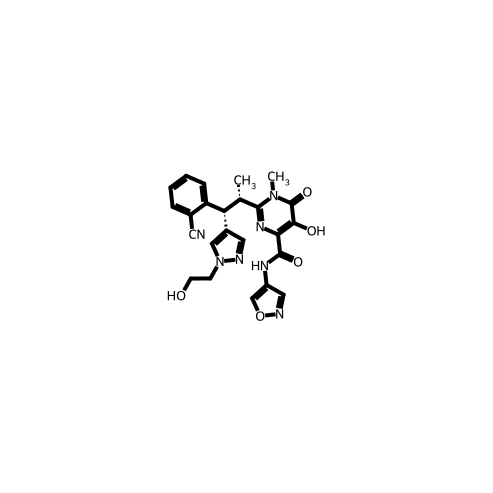 C[C@H](c1nc(C(=O)Nc2cnoc2)c(O)c(=O)n1C)[C@H](c1cnn(CCO)c1)c1ccccc1C#N